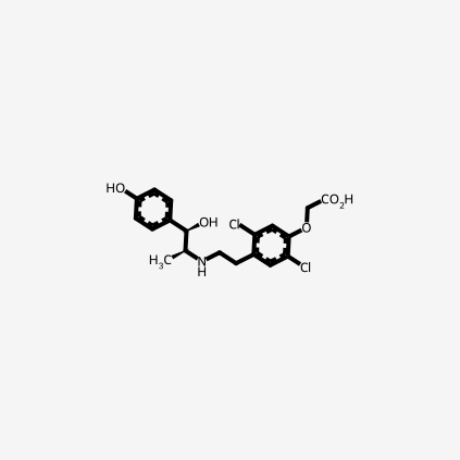 C[C@H](NCCc1cc(Cl)c(OCC(=O)O)cc1Cl)[C@H](O)c1ccc(O)cc1